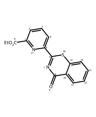 CCOC(=O)c1cccc(-c2nc(=O)c3ccccc3s2)n1